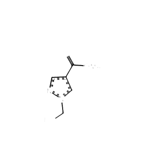 COC(=O)c1cnn(CO)c1